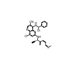 C#C[C@@H](Nc1cc(Cl)c2ncc(C#N)c(N[C@H](CC)c3ccccc3)c2c1)C(=C)/C=C\C=N/C